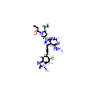 C=CC(=O)N1C[C@@H](n2nc(C#Cc3cc4ncn(C)c4cc3F)c3c(N)ncnc32)C[C@@H]1CF